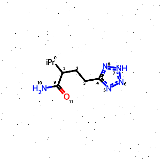 CC(C)C(CCc1nn[nH]n1)C(N)=O